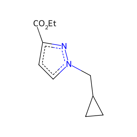 CCOC(=O)c1ccn(CC2CC2)n1